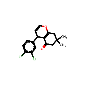 CC1(C)CC(=O)C2=C(C1)OC=CC2c1ccc(Cl)c(Cl)c1